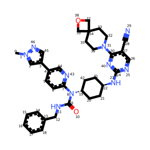 Cn1cc(-c2ccc(N(C(=O)NCc3ccccc3)[C@H]3CC[C@H](Nc4ncc(C#N)c(N5CCC6(CC5)COC6)n4)CC3)nc2)cn1